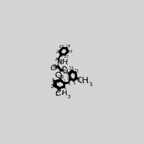 Cc1ccc2c(c1)Cc1cc(C)ccc1OC(C(=O)NCc1ccccc1)O2